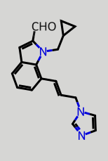 O=Cc1cc2cccc(/C=C/Cn3ccnc3)c2n1CC1CC1